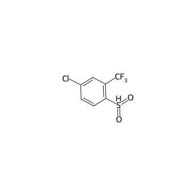 O=[SH](=O)c1ccc(Cl)cc1C(F)(F)F